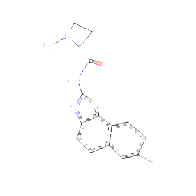 CC(=O)N1CC[C@@H]1C(=O)Nc1nc2ccc3cc(F)ccc3c2s1